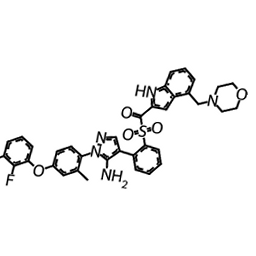 Cc1cc(Oc2cccc(F)c2F)ccc1-n1ncc(-c2ccccc2S(=O)(=O)C(=O)c2cc3c(CN4CCOCC4)cccc3[nH]2)c1N